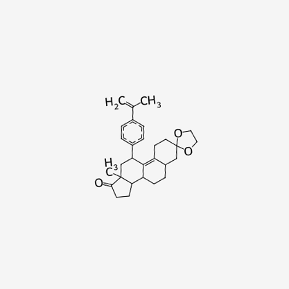 C=C(C)c1ccc(C2CC3(C)C(=O)CCC3C3CCC4CC5(CCC4=C23)OCCO5)cc1